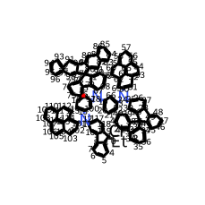 CCC1(C)c2ccccc2-c2cc(N(c3cccc(N(c4cccc(N(c5ccc6c(c5)C(c5ccccc5)(c5ccccc5)c5ccccc5-6)c5cc6ccc7cccc8ccc(c5)c6c78)c4)c4cccc5c4-c4ccccc4C54c5cc6ccccc6cc5-c5cc6ccccc6cc54)c3)c3ccc4ccc5cccc6ccc3c4c56)ccc21